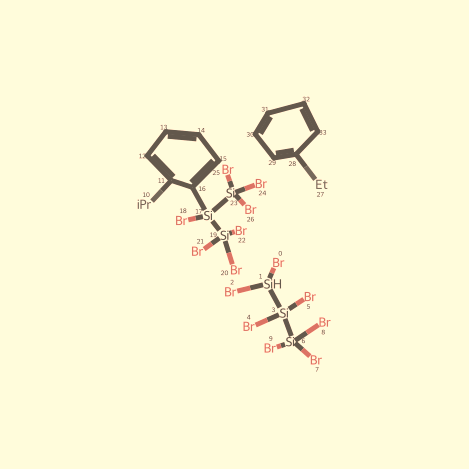 Br[SiH](Br)[Si](Br)(Br)[Si](Br)(Br)Br.CC(C)c1ccccc1[Si](Br)([Si](Br)(Br)Br)[Si](Br)(Br)Br.CCc1ccccc1